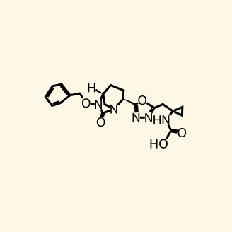 O=C(O)NC1(Cc2nnc([C@@H]3CC[C@@H]4CN3C(=O)N4OCc3ccccc3)o2)CC1